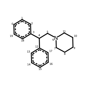 c1ccc(C(CN2CCCCC2)c2ccccc2)cc1